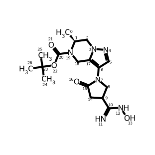 C[C@H]1Cn2ncc(N3CC(C(=N)NO)CC3=O)c2CN1C(=O)OC(C)(C)C